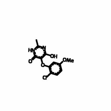 COc1ccc(Cl)c(Oc2c(O)nc(C)[nH]c2=O)c1